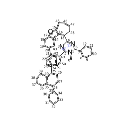 C=N/C(=N\C(=N/Cc1ccccc1)C1=c2c(oc3ccc(-c4ccc(-c5ccc(-c6ccccc6)c6ccccc56)cc4)cc23)=CC=CC1)c1ccccc1